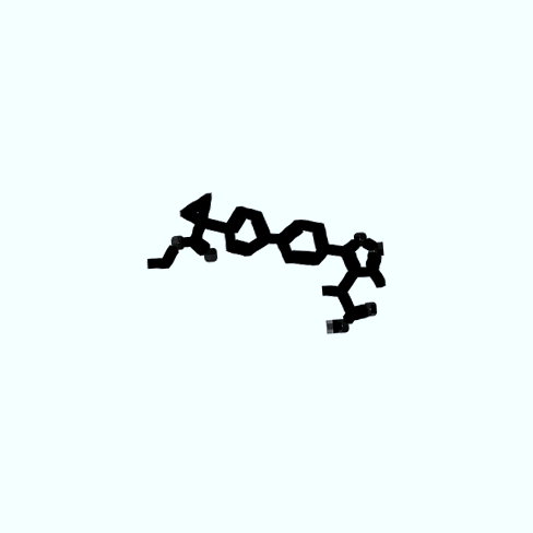 CCOC(=O)C1(c2ccc(-c3ccc(-c4onc(C)c4C(C)C(=O)O)cc3)cc2)CC1